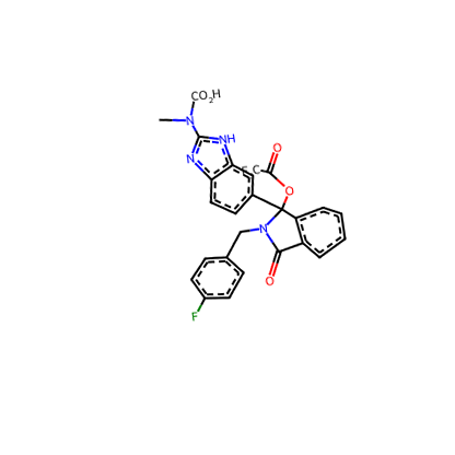 CN(C(=O)O)c1nc2ccc(C3(OC(=O)C(F)(F)F)c4ccccc4C(=O)N3Cc3ccc(F)cc3)cc2[nH]1